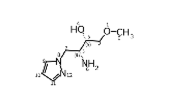 COC[C@@H](O)[C@H](N)Cn1cccn1